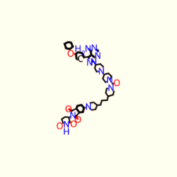 Nc1ncnc2c1c(-c1ccc(Oc3ccccc3)cc1)nn2C1CCN(C2CCN(C(=O)N3CCC(CCCC4CCN(c5ccc6c(c5)C(=O)N(C5CCC(=O)NC5=O)C6=O)CC4)CC3)CC2)CC1